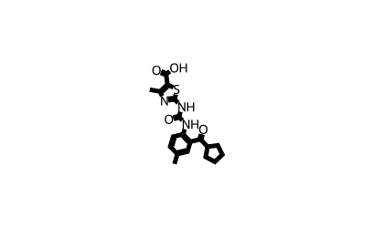 Cc1ccc(NC(=O)Nc2nc(C)c(C(=O)O)s2)c(C(=O)C2CCCC2)c1